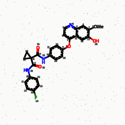 COc1cc2nccc(Oc3ccc(NC(=O)C4(C(=O)Nc5ccc(F)cc5)CC4)cc3)c2cc1O